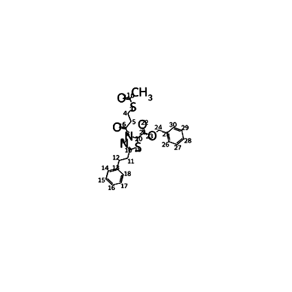 CC(=O)SCCC(=O)N1N=C(CCc2ccccc2)SC1C(=O)OCc1ccccc1